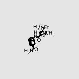 CCN(C)c1cc(C(=O)NC2C3CC4CC2CC(C(N)=O)(C4)C3)nn1C